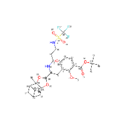 COc1c(CC(NC(=O)CCNS(=O)(=O)C(F)(F)F)B2OC3CC4CC(C4(C)C)C3(C)O2)cccc1C(=O)OC(C)(C)C